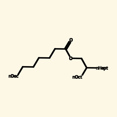 CCCCCCCCCCCCCCCC(=O)OCC(CCCCCCC)CCCCCCCC